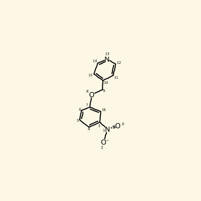 O=[N+]([O-])c1cccc(OCc2ccncc2)c1